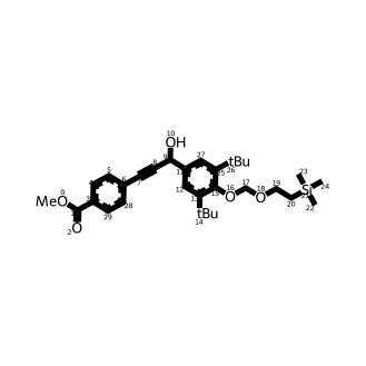 COC(=O)c1ccc(C#CC(O)c2cc(C(C)(C)C)c(OCOCC[Si](C)(C)C)c(C(C)(C)C)c2)cc1